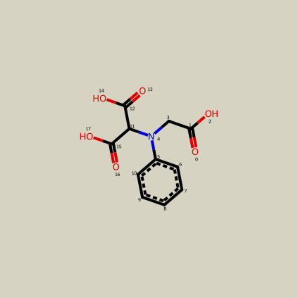 O=C(O)CN(c1ccccc1)C(C(=O)O)C(=O)O